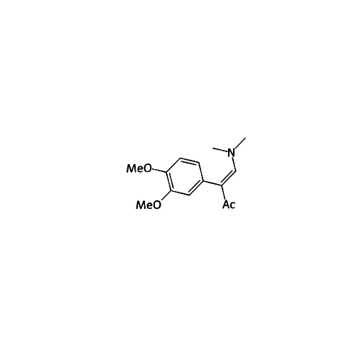 COc1ccc(/C(=C\N(C)C)C(C)=O)cc1OC